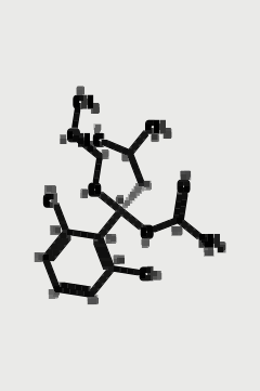 COCO[C@@](CC(C)C)(OC(N)=O)c1c(Cl)cccc1Cl